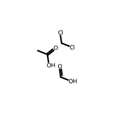 CC(=O)O.ClCCl.O=CO